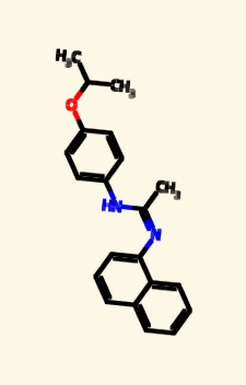 CC(=Nc1cccc2ccccc12)Nc1ccc(OC(C)C)cc1